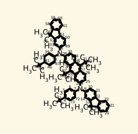 CC(C)(C)c1ccc(N(c2ccc3c(c2)C(C)(C)c2ccccc2-3)c2ccc3c(C(C)(C)C)c4ccc(N(C5=CCC(C(C)(C)C)C=C5)c5ccc6c(c5)C(C)(C)c5ccccc5-6)cc4c(C(C)(C)C)c3c2)cc1